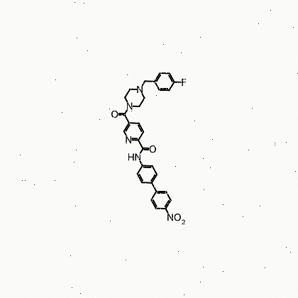 O=C(Nc1ccc(-c2ccc([N+](=O)[O-])cc2)cc1)c1ccc(C(=O)N2CCN(Cc3ccc(F)cc3)CC2)cn1